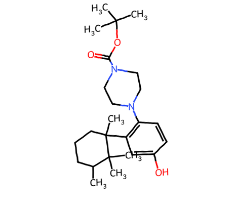 CC1CCCC(C)(c2cc(O)ccc2N2CCN(C(=O)OC(C)(C)C)CC2)C1(C)C